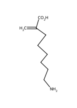 C=C(CCCCCCN)C(=O)O